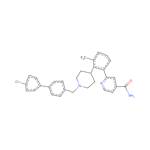 NC(=O)c1ccnc(-c2cccc(C(F)(F)F)c2C2CCN(Cc3ccc(-c4ccc(Cl)cc4)cc3)CC2)c1